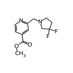 COC(=O)c1ccnc(CN2CCC(F)(F)C2)c1